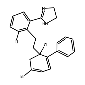 Clc1cccc(C2=NCCN2)c1CCC1(Cl)CC(Br)=CC=C1c1ccccc1